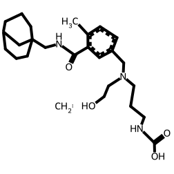 Cc1ccc(CN(CCO)CCCNC(=O)O)cc1C(=O)NCC12CCCC(CCC1)C2.[CH2]